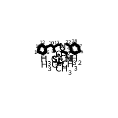 CC(C)(C)[Si](C)(C)OCC(Cc1ccccc1)CN(CCN)Cc1ccccc1